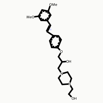 COc1cc(/C=C/c2ccc(OCC(O)CN3CCN(CCO)CC3)cc2)cc(OC)c1